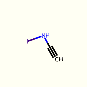 C#CNI